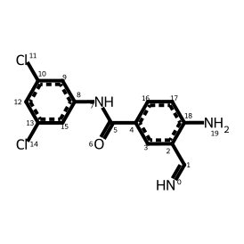 N=Cc1cc(C(=O)Nc2cc(Cl)cc(Cl)c2)ccc1N